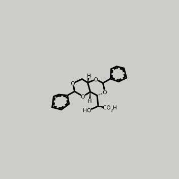 O=C(O)[C@@H](O)[C@H]1OC(c2ccccc2)O[C@H]2COC(c3ccccc3)O[C@@H]12